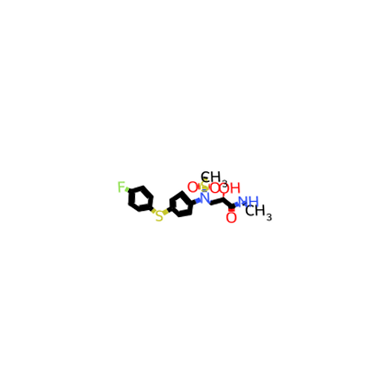 CNC(=O)[C@@H](O)CN(c1ccc(Sc2ccc(F)cc2)cc1)S(C)(=O)=O